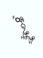 CCN(CCN1CCC(c2noc3cc(F)ccc23)CC1)C(=O)C(O)CNC(C)=O